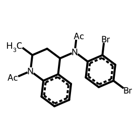 CC(=O)N1c2ccccc2C(N(C(C)=O)c2ccc(Br)cc2Br)CC1C